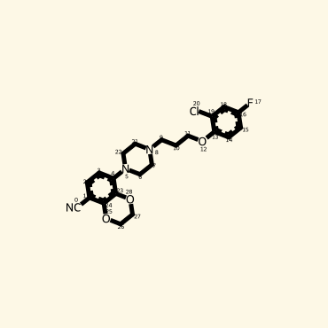 N#Cc1ccc(N2CCN(CCCOc3ccc(F)cc3Cl)CC2)c2c1OCCO2